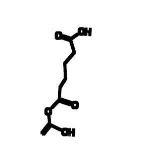 C=C(O)OC(=O)CCCCC(=O)O